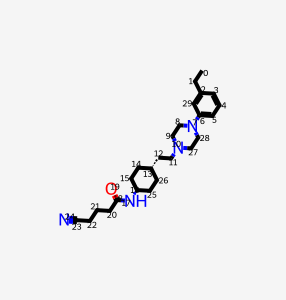 CCc1cccc(N2CCN(CC[C@H]3CC[C@H](NC(=O)CCCC#N)CC3)CC2)c1